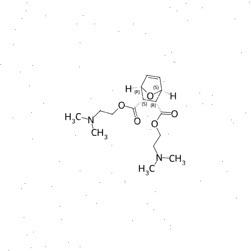 CN(C)CCOC(=O)[C@@H]1[C@H](C(=O)OCCN(C)C)[C@H]2C=C[C@@H]1O2